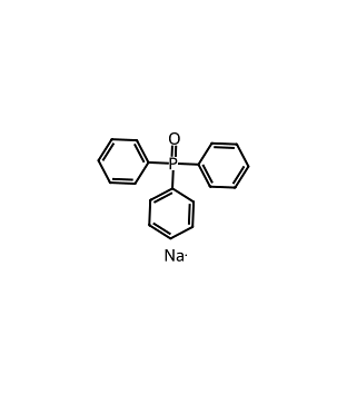 O=P(c1ccccc1)(c1ccccc1)c1ccccc1.[Na]